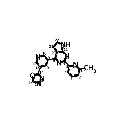 Cc1cccc(-c2nc(-c3cncc(-c4nnco4)c3)c3cc[nH]c3n2)n1